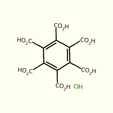 Cl.O=C(O)c1c(C(=O)O)c(C(=O)O)c(C(=O)O)c(C(=O)O)c1C(=O)O